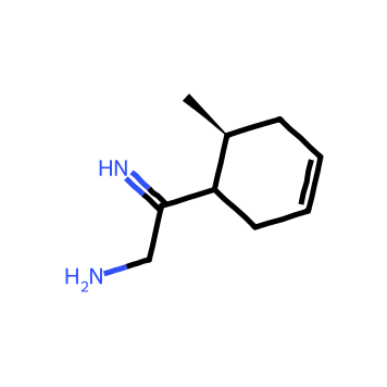 C[C@H]1CC=CCC1C(=N)CN